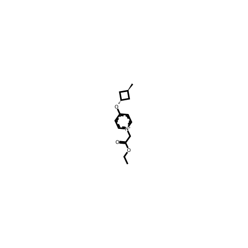 CCOC(=O)C[n+]1ccc(O[C@H]2C[C@H](C)C2)cc1